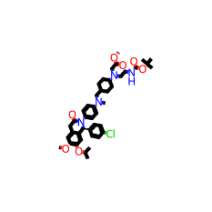 COC(=O)CN(CCNC(=O)OC(C)(C)C)C1CCC(CN(C)c2ccc(N3C(=O)Cc4cc(OC)c(OC(C)C)cc4[C@@H]3c3ccc(Cl)cc3)cc2)CC1